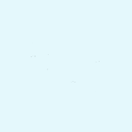 CCCCC(C)(C)C(=O)Oc1c(OC)c(OC)c(OC(=O)C(C)(C)C)c2c(OC)cccc12